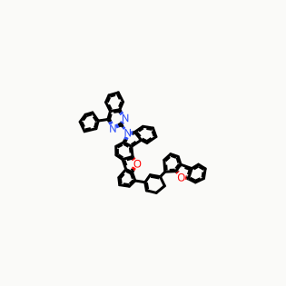 C1=C(c2cccc3c2oc2ccccc23)CCC=C1c1cccc2c1oc1c2ccc2c1c1ccccc1n2-c1nc(-c2ccccc2)c2ccccc2n1